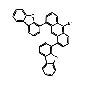 Brc1c2cccc(-c3cccc4c3oc3ccccc34)c2cc2c(-c3cccc4c3oc3ccccc34)cccc12